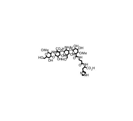 CO[C@@H]1OC(CO)[C@@H](O)[C@H](O[C@@H]2OC(C(=O)O)[C@@H](O[C@@H]3OC(CO)[C@@H](O)[C@H](OC4OC(C(=O)NCCC(=O)NC(Cc5c[nH]cn5)C(=O)O)[C@@H](OC)[C@H](O)[C@@H]4O)C3NC(C)=O)[C@H](O)C2O)C1NC(C)=O